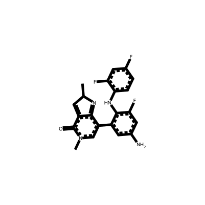 CC1C=c2c(c(-c3cc(N)cc(F)c3Nc3ccc(F)cc3F)cn(C)c2=O)=N1